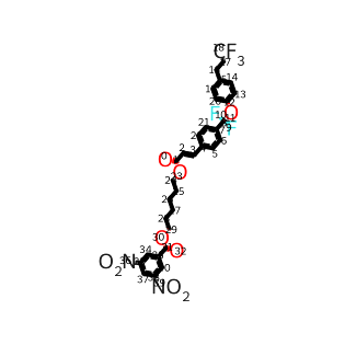 O=C(C=Cc1ccc(C(F)(F)Oc2ccc(CCC(F)(F)F)cc2)cc1)OCCCCCCOC(=O)c1cc([N+](=O)[O-])cc([N+](=O)[O-])c1